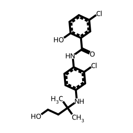 CC(C)(CCO)Nc1ccc(NC(=O)c2cc(Cl)ccc2O)c(Cl)c1